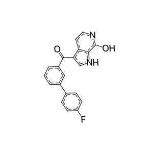 O=C(c1cccc(-c2ccc(F)cc2)c1)c1c[nH]c2c(O)nccc12